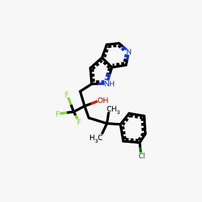 CC(C)(CC(O)(Cc1cc2ccncc2[nH]1)C(F)(F)F)c1cccc(Cl)c1